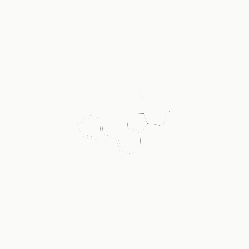 C=Cc1sc2c(-c3ccccc3)c(C)ccc2c1/C=C\I